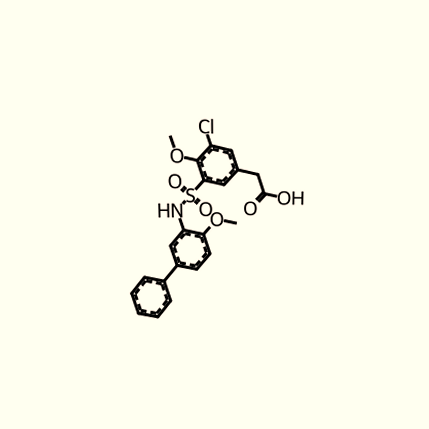 COc1ccc(-c2ccccc2)cc1NS(=O)(=O)c1cc(CC(=O)O)cc(Cl)c1OC